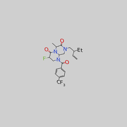 C=CC(CC)CN1CC2N(C(=O)c3ccc(C(F)(F)F)cc3)CC(F)C(=O)N2C(C)C1=O